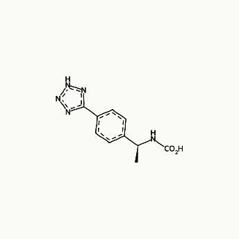 C[C@H](NC(=O)O)c1ccc(-c2nn[nH]n2)cc1